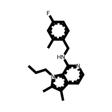 CCCn1c(C)c(C)c2ccnc(NCc3ccc(F)cc3C)c21